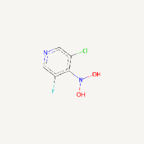 ON(O)c1c(F)cncc1Cl